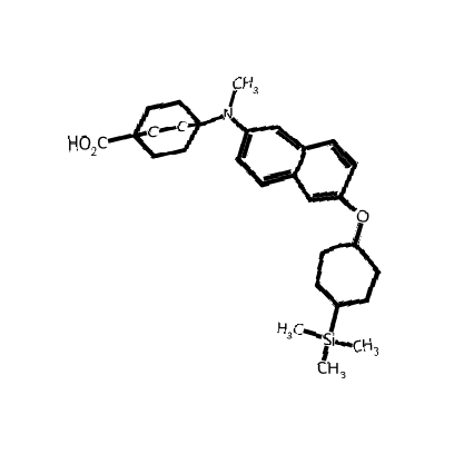 CN(c1ccc2cc(OC3CCC([Si](C)(C)C)CC3)ccc2c1)C12CCC(C(=O)O)(CC1)CC2